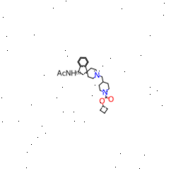 CC(=O)N[C@H]1CC2(CCN(CC3CCN(C(=O)OC4CCC4)CC3)CC2)c2ccccc21